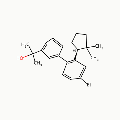 CCc1ccc(-c2cccc(C(C)(C)O)c2)c([C@H]2CCCC2(C)C)c1